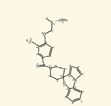 CO[C@@H](C)COc1ccc(C(=O)N2CCC3(CC2)Oc2ccccc2-n2cccc23)cc1C(F)(F)F